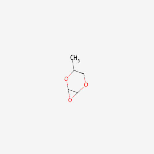 CC1COC2OC2O1